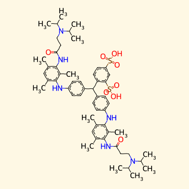 Cc1cc(C)c(Nc2ccc(C(c3ccc(Nc4c(C)cc(C)c(NC(=O)CCN(C(C)C)C(C)C)c4C)cc3)c3ccc(S(=O)(=O)O)cc3S(=O)(=O)O)cc2)c(C)c1NC(=O)CCN(C(C)C)C(C)C